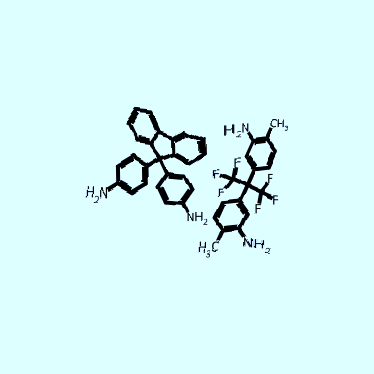 Cc1ccc(C(c2ccc(C)c(N)c2)(C(F)(F)F)C(F)(F)F)cc1N.Nc1ccc(C2(c3ccc(N)cc3)c3ccccc3-c3ccccc32)cc1